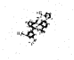 COc1cc(OC)cc(-c2nn(-c3cc(N4CCC[C@H]4CO)ccc3C(F)(F)F)c(=O)c3c2CCC3)c1